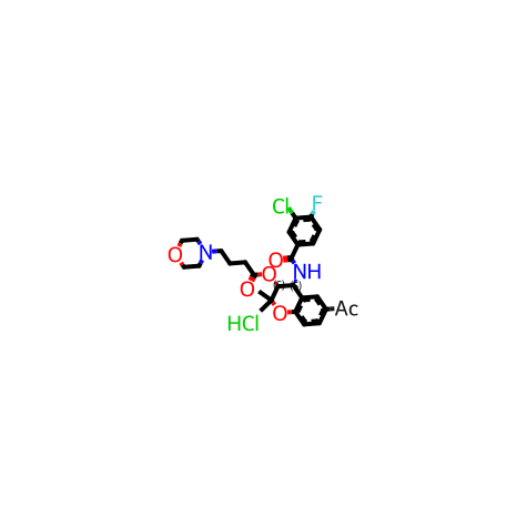 CC(=O)c1ccc2c(c1)[C@H](NC(=O)c1ccc(F)c(Cl)c1)[C@H](OC(=O)CCCN1CCOCC1)C(C)(C)O2.Cl